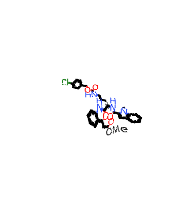 COC(=O)CCc1ccccc1NC(=O)[C@H](CCCNC(=O)OCc1ccc(Cl)cc1)NC(=O)c1cc2ccccc2n1C